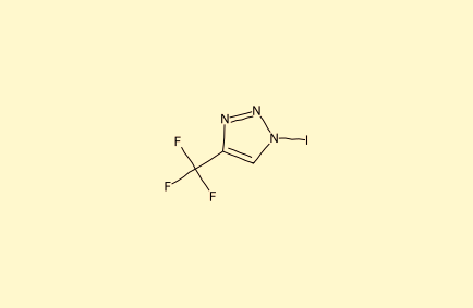 FC(F)(F)c1cn(I)nn1